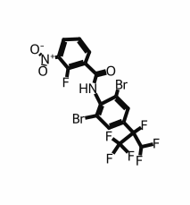 O=C(Nc1c(Br)cc(C(F)(C(F)F)C(F)(F)F)cc1Br)c1cccc([N+](=O)[O-])c1F